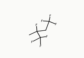 CC(F)(CC(F)(F)F)C(F)(F)F